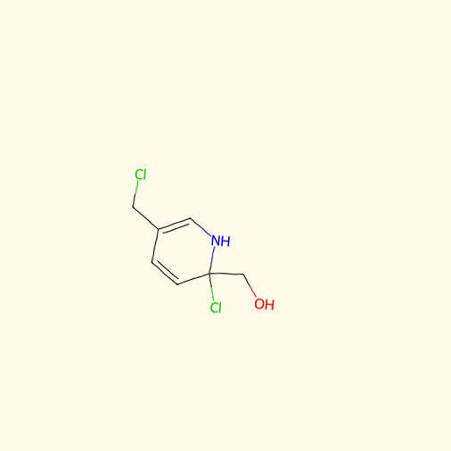 OCC1(Cl)C=CC(CCl)=CN1